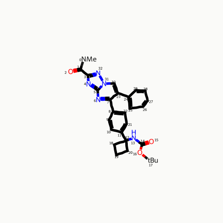 CNC(=O)c1nc2nc(-c3ccc(C4(NC(=O)OC(C)(C)C)CCC4)cc3)c(-c3ccccc3)cn2n1